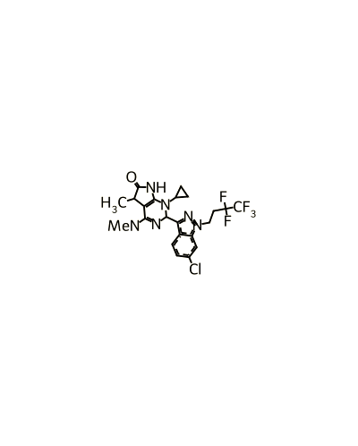 CNC1=NC(c2nn(CCC(F)(F)C(F)(F)F)c3cc(Cl)ccc23)N(C2CC2)C2=C1C(C)C(=O)N2